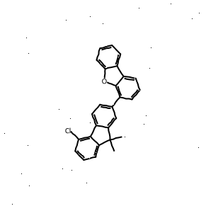 CC1(C)c2cc(-c3cccc4c3oc3ccccc34)ccc2-c2c(Cl)cccc21